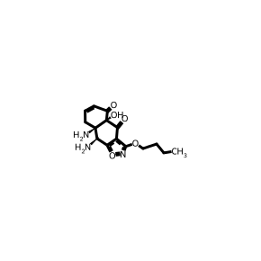 CCCCOc1noc2c1C(=O)[C@@]1(O)C(=O)C=CC[C@@]1(N)[C@@H]2N